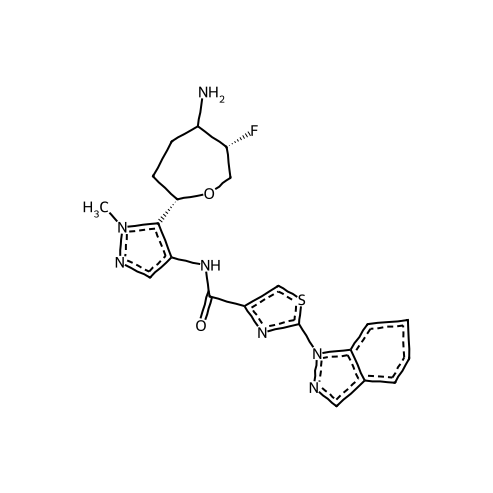 Cn1ncc(NC(=O)c2csc(-n3ncc4ccccc43)n2)c1[C@@H]1CCC(N)[C@H](F)CO1